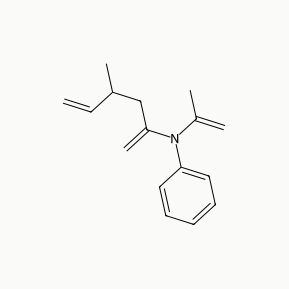 C=CC(C)CC(=C)N(C(=C)C)c1ccccc1